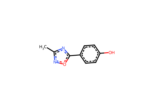 Cc1noc(-c2ccc(O)cc2)n1